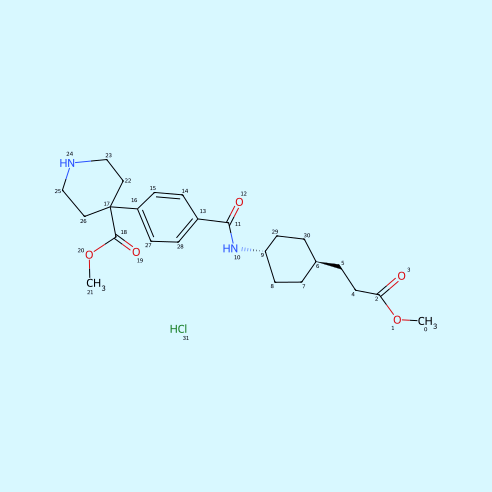 COC(=O)CC[C@H]1CC[C@H](NC(=O)c2ccc(C3(C(=O)OC)CCNCC3)cc2)CC1.Cl